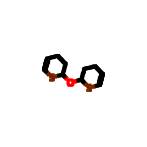 C1=CSC(OC2CCC=CS2)CC1